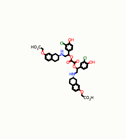 O=C(O)COc1ccc2c(c1)C[C@@H](NCC(OC(=O)C(=O)OC(CN[C@H]1CCc3ccc(OCC(=O)O)cc3C1)c1ccc(O)c(Cl)c1)c1ccc(O)c(Cl)c1)CC2